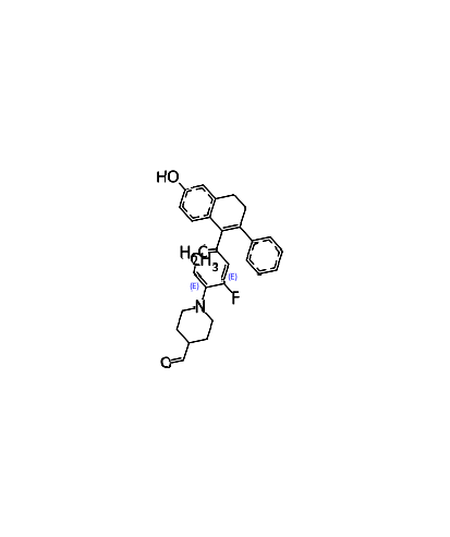 C=C(/C=C(F)\C(=C/C)N1CCC(C=O)CC1)C1=C(c2ccccc2)CCc2cc(O)ccc21